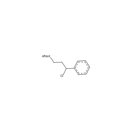 CCCCCCCC(Cl)c1ccccc1